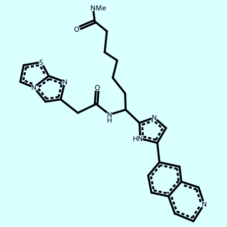 CNC(=O)CCCCCC(NC(=O)Cc1cn2ccsc2n1)c1ncc(-c2ccc3ccncc3c2)[nH]1